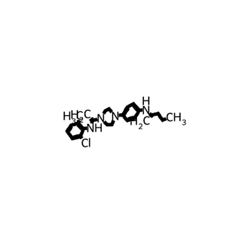 C=C(CCC)Nc1ccc(N2CCN(C(=C)Nc3c(C)cccc3Cl)CC2)cc1